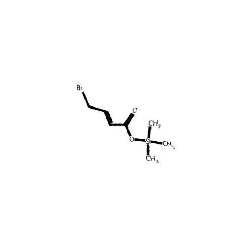 C[Si](C)(C)OC(=O)C=CCBr